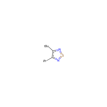 CC(C)c1nsnc1C(C)(C)C